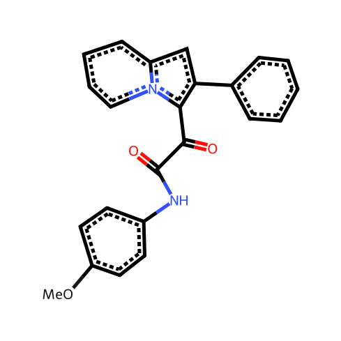 COc1ccc(NC(=O)C(=O)c2c(-c3ccccc3)cc3ccccn23)cc1